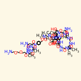 CC[C@H](C)[C@@H]1NC(=O)CNC(=O)[C@H]2Cc3c([nH]c4cc(OC(=O)N(CCN(C)C(=O)OCc5ccc(NC(=O)[C@H](CC(N)=O)NC(=O)[C@H](C)NC(=O)[C@H](C)NC(=O)CCOCCOCCN)cc5)C(C)C)ccc34)[S+]([O-])C[C@H](NC(=O)CNC1=O)C(=O)N[C@@H](CC(N)=O)C(=O)N1C[C@H](O)C[C@H]1C(=O)N[C@@H]([C@@H](C)[C@@H](O)CO)C(=O)N2